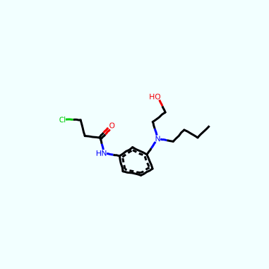 CCCCN(CCO)c1cccc(NC(=O)CCCl)c1